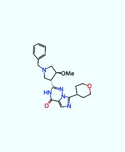 CO[C@@H]1CN(Cc2ccccc2)C[C@H]1c1nn2c(C3CCOCC3)ncc2c(=O)[nH]1